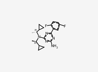 C[C@H](C1CC1)N(c1nc(N)nc(-c2cc(F)ccc2F)n1)[C@H](C)C1CC1